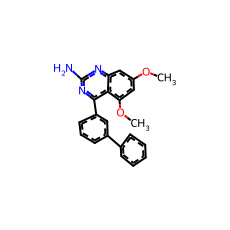 COc1cc(OC)c2c(-c3cccc(-c4ccccc4)c3)nc(N)nc2c1